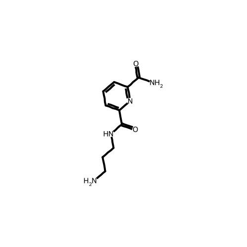 NCCCNC(=O)c1cccc(C(N)=O)n1